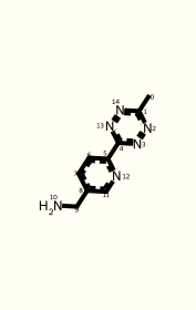 Cc1nnc(-c2ccc(CN)cn2)nn1